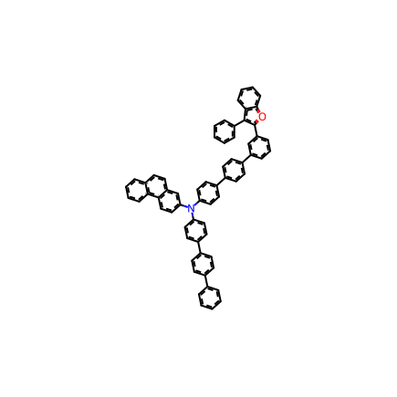 c1ccc(-c2ccc(-c3ccc(N(c4ccc(-c5ccc(-c6cccc(-c7oc8ccccc8c7-c7ccccc7)c6)cc5)cc4)c4ccc5c(ccc6ccccc65)c4)cc3)cc2)cc1